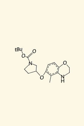 Cc1c(OC2CCN(C(=O)OC(C)(C)C)C2)ccc2c1NCCO2